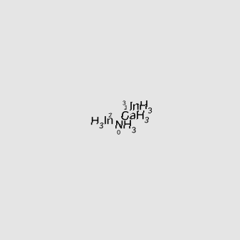 N.[GaH3].[InH3].[InH3]